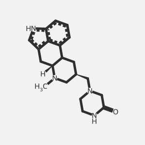 CN1C[C@H](CN2CCNC(=O)C2)CC2c3cccc4[nH]cc(c34)C[C@H]21